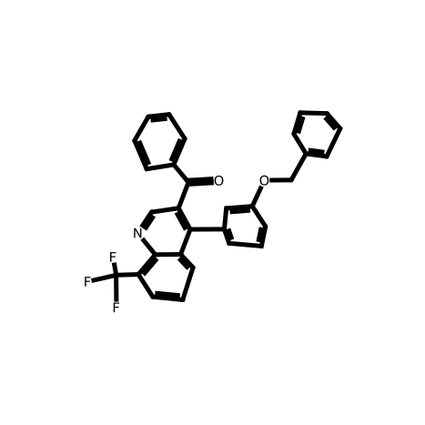 O=C(c1ccccc1)c1cnc2c(C(F)(F)F)cccc2c1-c1cccc(OCc2ccccc2)c1